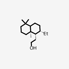 CC[C@H]1CCC2C(C)(C)CCC[C@]2(C)[C@H]1CCO